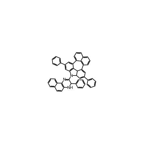 C1=C(c2ccccc2)C=C2c3cccc4cccc(c34)-c3cc(-c4ccccc4)cc4c3C2C1N4C1=Nc2c(ccc3ccccc23)NC1c1ccccc1